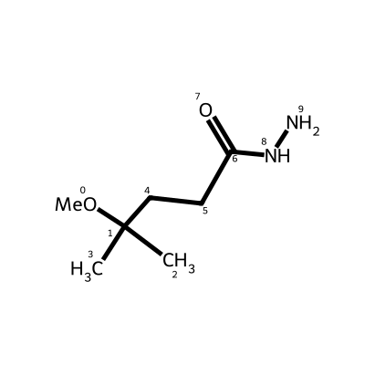 COC(C)(C)CCC(=O)NN